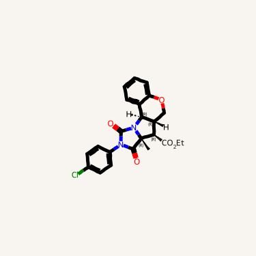 CCOC(=O)[C@@H]1[C@H]2COc3ccccc3[C@@H]2N2C(=O)N(c3ccc(Cl)cc3)C(=O)[C@@]12C